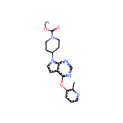 Cc1ncccc1Oc1ncnc2c1ccn2C1CCN(C(=O)OC(C)C)CC1